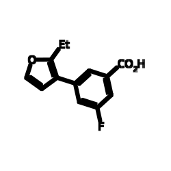 CCc1occc1-c1cc(F)cc(C(=O)O)c1